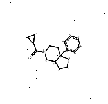 O=C(C1CC1)N1CCC2(c3ccccc3)CCCC2C1